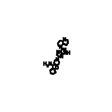 N[C@@H]1c2ccccc2OC12CCN(c1cnc3c(N4CCCc5ncccc54)n[nH]c3n1)CC2